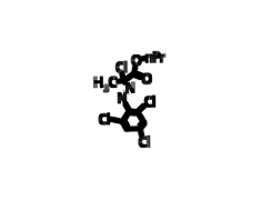 CCCOC(=O)C(C)(Cl)/N=N/c1c(Cl)cc(Cl)cc1Cl